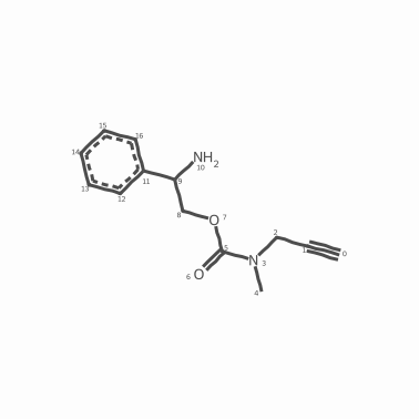 C#CCN(C)C(=O)OCC(N)c1ccccc1